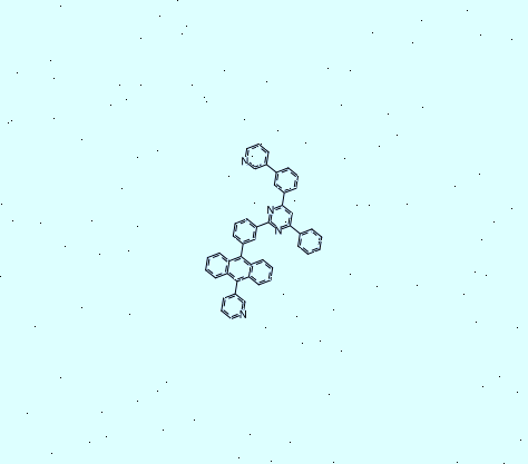 c1ccc(-c2cc(-c3cccc(-c4cccnc4)c3)nc(-c3cccc(-c4c5ccccc5c(-c5cccnc5)c5ccccc45)c3)n2)cc1